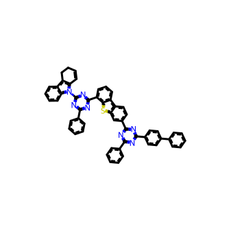 C1=Cc2c(c3ccccc3n2-c2nc(-c3ccccc3)nc(-c3cccc4c3sc3cc(-c5nc(-c6ccccc6)nc(-c6ccc(-c7ccccc7)cc6)n5)ccc34)n2)CC1